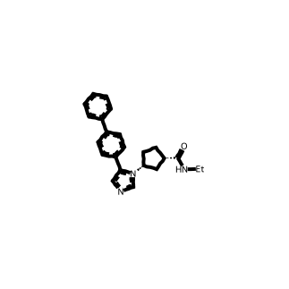 CCNC(=O)[C@H]1CC[C@@H](n2cncc2-c2ccc(-c3ccccc3)cc2)C1